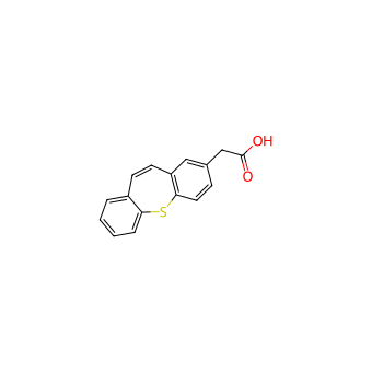 O=C(O)Cc1ccc2c(c1)C=Cc1ccccc1S2